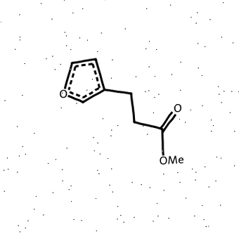 COC(=O)CCc1ccoc1